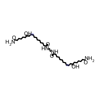 NC(=O)CCCCC[C@@H](O)C/C=C\CCCCCCCC(=O)NCCNC(=O)CCCCCCC/C=C\C[C@H](O)CCCCCC(N)=O